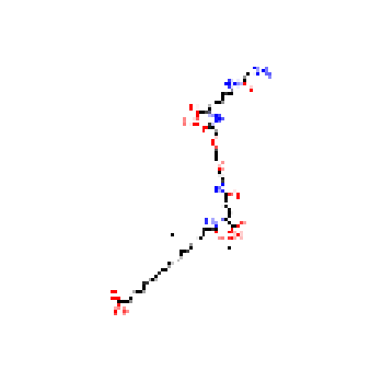 NCC(=O)NCCCCC(NC(=O)COCCOCCNC(=O)CCC(NC(=O)CCCCCCCCCCCCCCC(=O)O)C(=O)O)C(=O)O